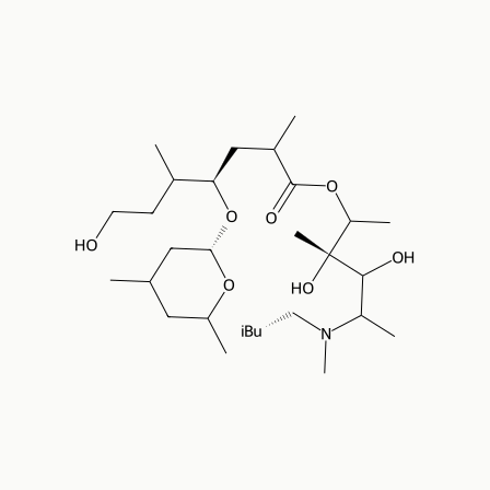 CC[C@@H](C)CN(C)C(C)C(O)[C@](C)(O)C(C)OC(=O)C(C)C[C@@H](O[C@H]1CC(C)CC(C)O1)C(C)CCO